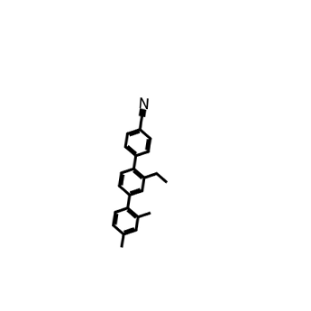 CCc1cc(-c2ccc(C)cc2C)ccc1-c1ccc(C#N)cc1